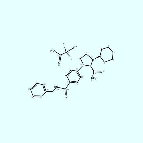 NC(=O)[C@@H]1[C@H](C2CCCCC2)CCN1c1ccc(C(=O)NCc2ccccn2)cc1.O=C(O)C(F)(F)F